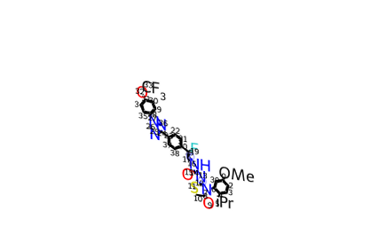 COc1ccc(C(C)C)c(N2C(=O)CS/C2=N\C(=O)N/C=C(\F)c2ccc(-c3ncn(-c4ccc(OC(F)(F)F)cc4)n3)cc2)c1